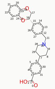 O=C(O)c1ccc(C2CCN(Cc3ccc([C@H]4COc5ccccc5O4)cc3)CC2)cc1